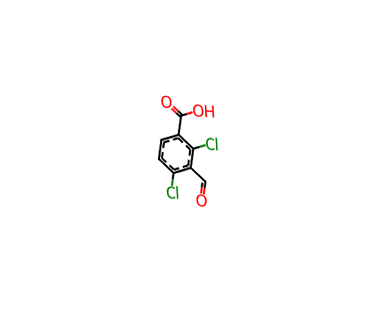 O=Cc1c(Cl)ccc(C(=O)O)c1Cl